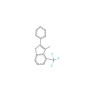 CC1=C(c2ccccc2)[CH]c2cccc(C(F)(F)F)c21